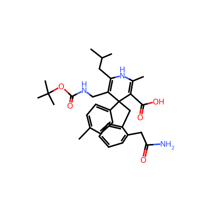 CC1=C(C(=O)O)C(Cc2ccccc2CC(N)=O)(c2ccc(C)cc2)C(CNC(=O)OC(C)(C)C)=C(CC(C)C)N1